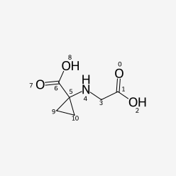 O=C(O)CNC1(C(=O)O)CC1